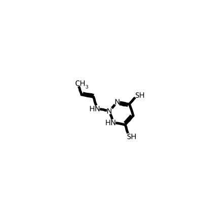 CC=CNN1N=C(S)C=C(S)N1